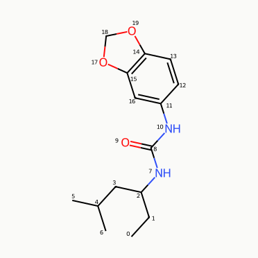 CCC(CC(C)C)NC(=O)Nc1ccc2c(c1)OCO2